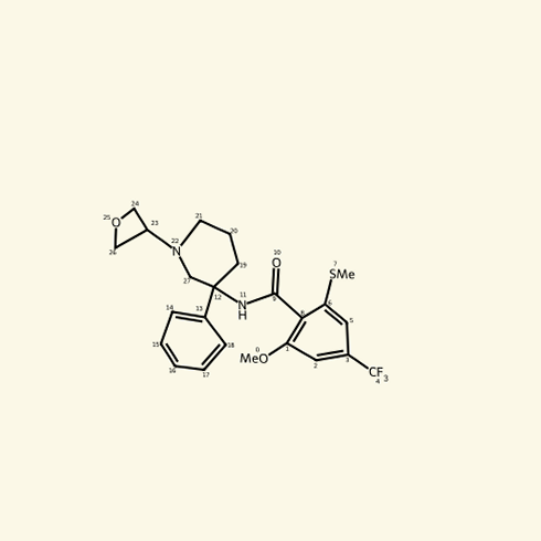 COc1cc(C(F)(F)F)cc(SC)c1C(=O)NC1(c2ccccc2)CCCN(C2COC2)C1